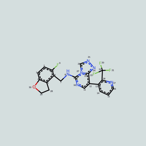 Fc1ccc2c(c1CNc1ncc(-c3cccnc3C(F)(F)F)c3nncn13)CCO2